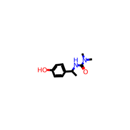 CC(NC(=O)N(C)C)c1ccc(O)cc1